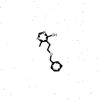 Cc1ncnc(O)c1CCOCc1ccccc1